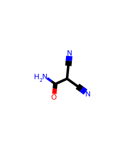 N#CC(C#N)C(N)=O